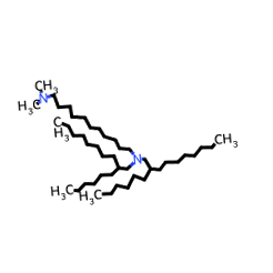 CCCCCCCCC(CCCCCC)CN(CCCCCCCCCCCN(C)C)CC(CCCCCC)CCCCCCCC